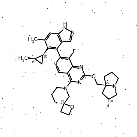 Cc1cc2[nH]ncc2c(-c2ncc3c(N4CCC[C@]5(CCO5)C4)nc(OC[C@@]45CCCN4C[C@H](F)C5)nc3c2F)c1[C@H]1C[C@H]1C